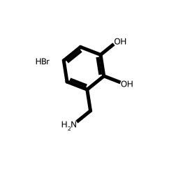 Br.NCc1cccc(O)c1O